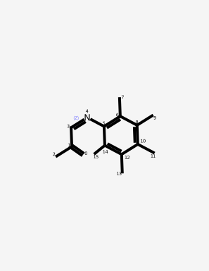 C=C(C)/C=N\c1c(C)c(C)c(C)c(C)c1C